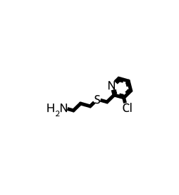 NCCCSCc1ncccc1Cl